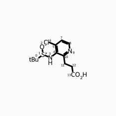 CC(C)(C)[S+]([O-])Nc1c(Cl)ccnc1CCC(=O)O